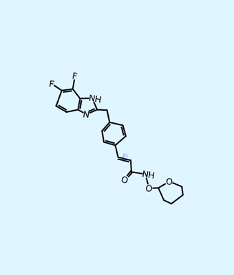 O=C(/C=C/c1ccc(Cc2nc3ccc(F)c(F)c3[nH]2)cc1)NOC1CCCCO1